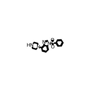 O=S(=O)(c1ccccc1)n1cnc2c(N3CCNCC3)cccc21